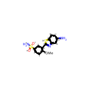 COc1ccc(S(N)(=O)=O)cc1-c1nc2cc(N)ccc2s1